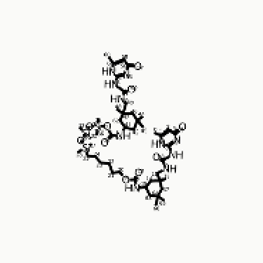 Cc1cc(=O)nc(NC(=O)NCC2(C)CC(NC(=O)OCCCCCC[Si](C)(C)O[Si](C)(C)O[Si](C)(C)OC(=O)NC3CC(C)(C)CC(C)(CNC(=O)Nc4nc(=O)cc(C)[nH]4)C3)CC(C)(C)C2)[nH]1